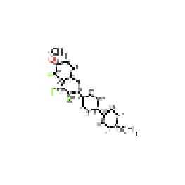 COC1CCC2C[C@@H](C3CCC(C4CCC(C)CC4)CC3)C(F)C(F)C2C1F